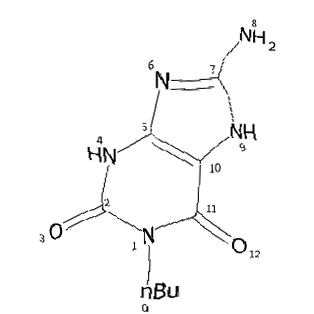 CCCCn1c(=O)[nH]c2nc(N)[nH]c2c1=O